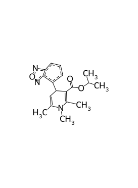 CC1=CC(c2cccc3nonc23)C(C(=O)OC(C)C)=C(C)N1C